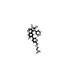 CN(C)CCOCc1ccc(-c2cc3c(cc2F)nnc2c3n(C3CCOCC3)c(=O)n2C)cn1